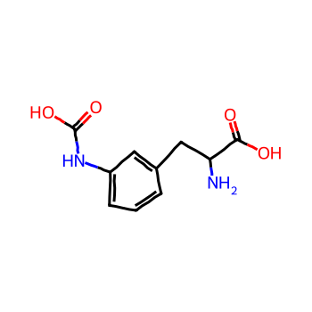 NC(Cc1cccc(NC(=O)O)c1)C(=O)O